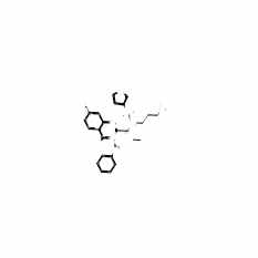 CC[C@H](c1nc2cc(Cl)ccc2c(=O)n1Nc1ccccc1)N(CCCN)S(=O)(=O)c1ccsc1